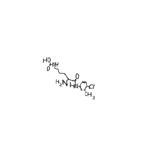 Cc1cc(NC(=O)C(N)CCCCNC(=O)O)ccc1Cl